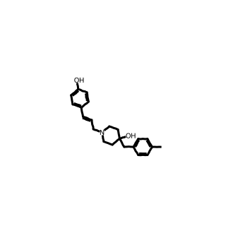 Cc1ccc(CC2(O)CCN(CC=Cc3ccc(O)cc3)CC2)cc1